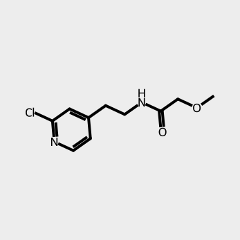 COCC(=O)NCCc1ccnc(Cl)c1